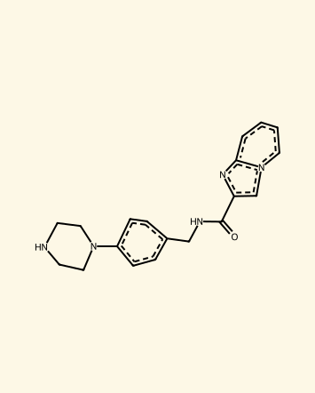 O=C(NCc1ccc(N2CCNCC2)cc1)c1cn2ccccc2n1